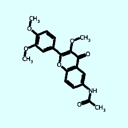 COc1ccc(-c2oc3ccc(NC(C)=O)cc3c(=O)c2OC)cc1OC